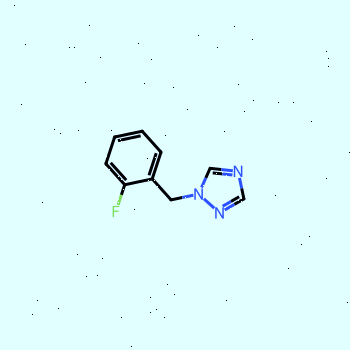 Fc1ccccc1Cn1cncn1